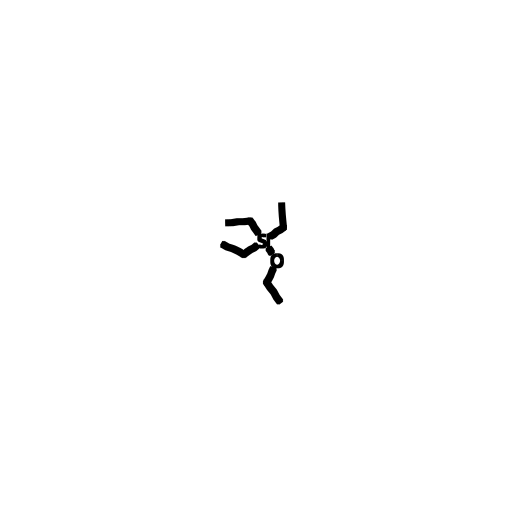 CCO[Si](CC)(CC)CC